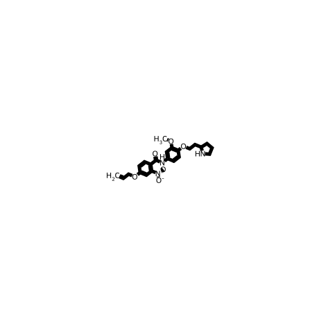 C=CCOc1ccc(C(=O)Nc2ccc(OCCC3CCCN3)c(OC)c2)c([N+](=O)[O-])c1